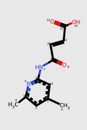 Cc1cc(C)nc(NC(=O)C=CC(=O)O)c1